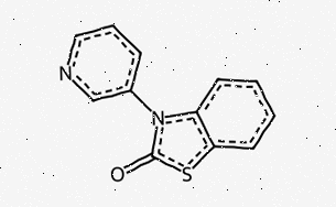 O=c1sc2ccccc2n1-c1cccnc1